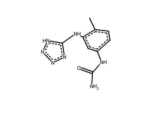 Cc1ccc(NC(N)=O)cc1Nc1nnn[nH]1